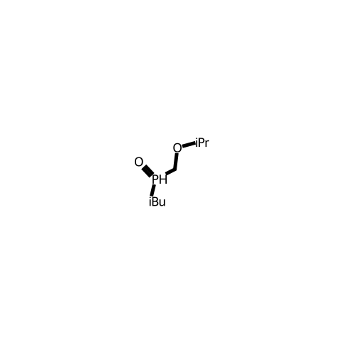 CCC(C)[PH](=O)COC(C)C